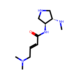 CN[C@H]1CNC[C@@H]1NC(=O)/C=C/CN(C)C